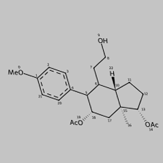 COc1ccc(C2C(CCO)[C@@H]3CC[C@H](OC(C)=O)[C@@]3(C)C[C@@H]2OC(C)=O)cc1